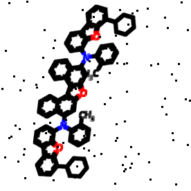 Cc1ccccc1N(c1cc2oc3cc(N(c4ccccc4C)c4cccc5c4oc4c(C6CCCCC6)cccc45)c4ccccc4c3c2c2ccccc12)c1cccc2c1oc1c(C3CCCCC3)cccc12